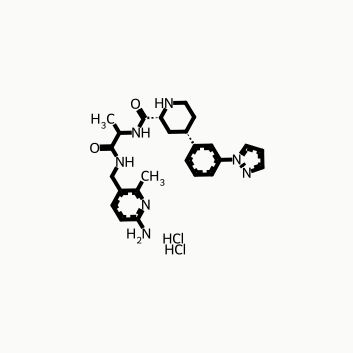 Cc1nc(N)ccc1CNC(=O)C(C)NC(=O)[C@H]1C[C@@H](c2cccc(-n3cccn3)c2)CCN1.Cl.Cl